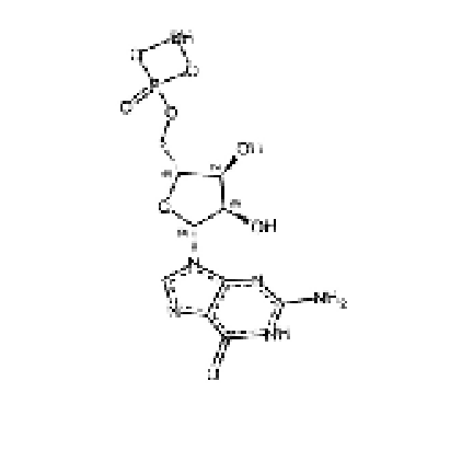 Nc1nc2c(ncn2[C@@H]2O[C@H](COP3(=O)OBO3)[C@@H](O)[C@H]2O)c(=O)[nH]1